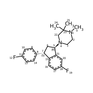 CN1CCN([C@@H]2C[C@@H](c3ccc(F)cc3)c3ccc(F)cc32)CC1(C)C